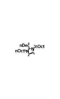 CCCCCCCCCCC1N(CCCCCCCC)C=CN1CCCCCCCC